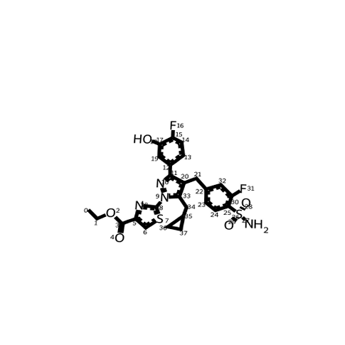 CCOC(=O)c1csc(-n2nc(-c3ccc(F)c(O)c3)c(Cc3ccc(S(N)(=O)=O)c(F)c3)c2CC2CC2)n1